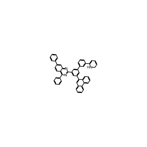 C1=CCNC(c2cccc(-c3cc(-c4nc(-c5ccccc5)c5ccc(-c6ccccc6)cc5n4)cc(-c4cc5ccccc5c5ccccc45)c3)c2)=C1